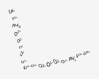 P.P.[O-2].[O-2].[O-2].[O-2].[O-2].[O-2].[O-2].[O-2].[O-2].[O-2].[O-2].[U+6].[U+6].[V+5].[V+5]